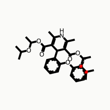 CC1=C(C(=O)OC(C)OC(C)C)C(c2ccccc2Oc2ccccc2F)C(C(=O)OC(C)OC(C)C)=C(C)N1